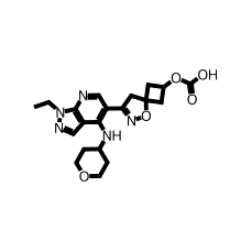 CCn1ncc2c(NC3CCOCC3)c(C3=NOC4(C3)CC(OC(=O)O)C4)cnc21